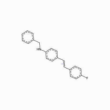 Fc1ccc(/C=C/c2ccc(NCc3ccccc3)cc2)cc1